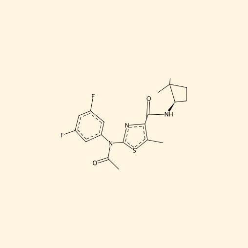 CC(=O)N(c1cc(F)cc(F)c1)c1nc(C(=O)N[C@@H]2CCC2(C)C)c(C)s1